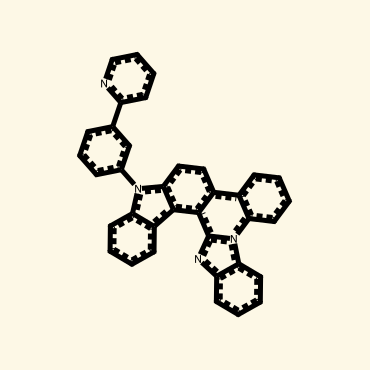 c1ccc(-c2cccc(-n3c4ccccc4c4c5c(ccc43)c3ccccc3n3c4ccccc4nc53)c2)nc1